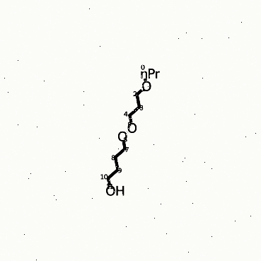 CCCOCCCOOCCCCO